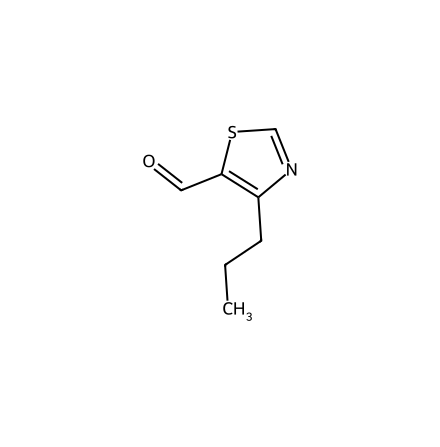 CCCc1ncsc1C=O